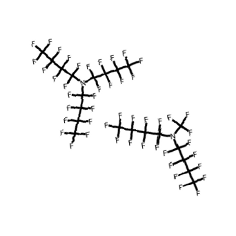 FC(F)(F)C(F)(F)C(F)(F)C(F)(F)N(C(F)(F)C(F)(F)C(F)(F)C(F)(F)F)C(F)(F)C(F)(F)C(F)(F)C(F)(F)F.FC(F)(F)N(C(F)(F)C(F)(F)C(F)(F)C(F)(F)F)C(F)(F)C(F)(F)C(F)(F)C(F)(F)F